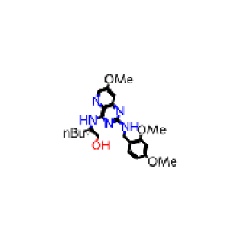 CCCC[C@H](CO)Nc1nc(NCc2ccc(OC)cc2OC)nc2cc(OC)cnc12